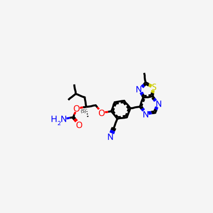 Cc1nc2c(-c3ccc(OC[C@](C)(CC(C)C)OC(N)=O)c(C#N)c3)ncnc2s1